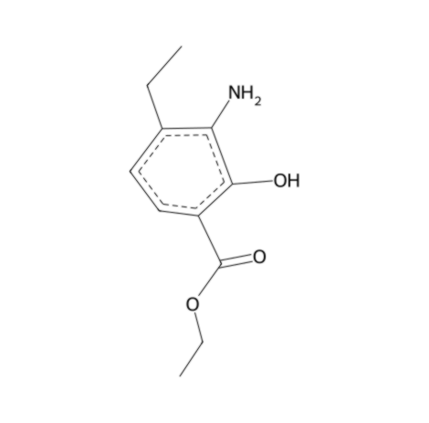 CCOC(=O)c1ccc(CC)c(N)c1O